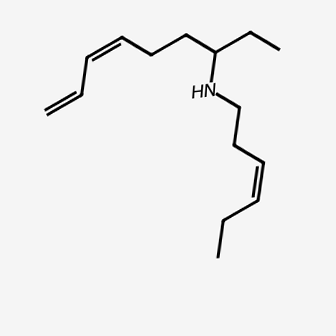 C=C/C=C\CCC(CC)NCC/C=C\CC